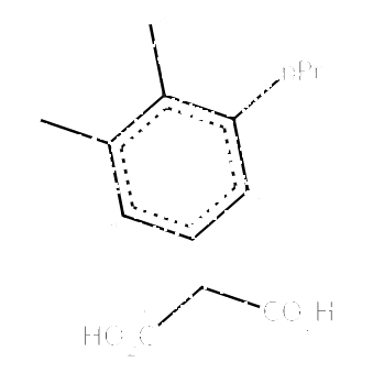 CCCc1cccc(C)c1C.O=C(O)CC(=O)O